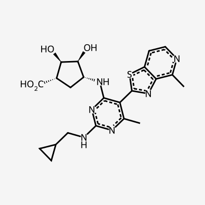 Cc1nc(NCC2CC2)nc(N[C@@H]2C[C@H](C(=O)O)[C@@H](O)[C@H]2O)c1-c1nc2c(C)nccc2s1